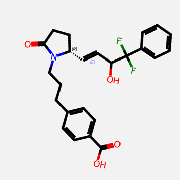 O=C(O)c1ccc(CCCN2C(=O)CC[C@@H]2/C=C/C(O)C(F)(F)c2ccccc2)cc1